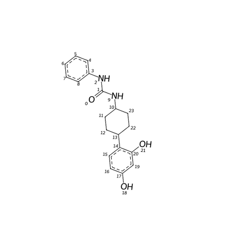 O=C(Nc1ccccc1)NC1CCC(c2ccc(O)cc2O)CC1